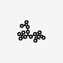 c1ccc(-n2c3ccccc3c3ccc(-c4ccc(N(c5cccc(-c6ccc7c(c6)C6(c8ccccc8-7)c7ccc8ccccc8c7Oc7c6ccc6ccccc76)c5)c5ccc6c(c5)C(c5ccccc5)(c5ccccc5)c5ccccc5-6)cc4)cc32)cc1